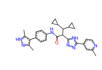 Cc1cc(-c2nnc(C(C(=O)Nc3ccc(-c4c(C)n[nH]c4C)cc3)C(C3CC3)C3CC3)[nH]2)ccn1